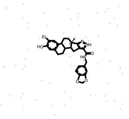 CCc1cc2c(cc1O)CCC1C2CC[C@]2(C)c3n[nH]c(C(=O)NCc4ccc5c(c4)OCO5)c3CC12